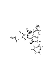 CC(=O)OC[C@H]1O[C@@H](n2c(=O)n(Cc3cccnc3)c3cnc(N)nc32)[C@H](OC(C)=O)[C@@H]1F